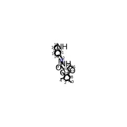 Cc1cc(C)c(OCC(=O)N/N=C/c2ccc3cc[nH]c3c2)c(C2CCCO2)c1